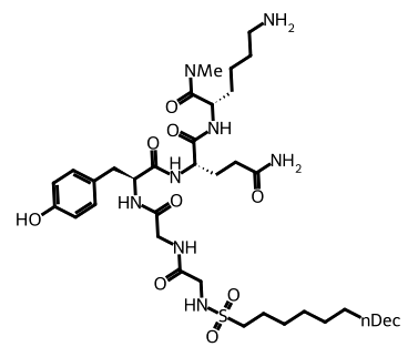 CCCCCCCCCCCCCCCCS(=O)(=O)NCC(=O)NCC(=O)N[C@@H](Cc1ccc(O)cc1)C(=O)N[C@@H](CCC(N)=O)C(=O)N[C@@H](CCCCN)C(=O)NC